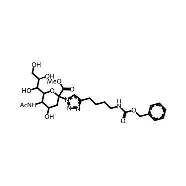 COC(=O)C1(n2cc(CCCCNC(=O)OCc3ccccc3)nn2)CC(O)C(NC(C)=O)C(C(O)[C@H](O)CO)O1